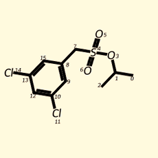 CC(C)OS(=O)(=O)Cc1cc(Cl)cc(Cl)c1